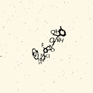 Cc1cccc(C(CO)NC(=O)CN2Cc3c(F)cc(-c4nc(NC5CCOCC5)ncc4Cl)cc3C2=O)c1